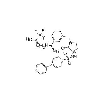 N=C(N)c1cccc(CN2CC[C@H](NS(=O)(=O)c3ccc(-c4ccccc4)cc3)C2=O)c1.O=C(O)C(F)(F)F